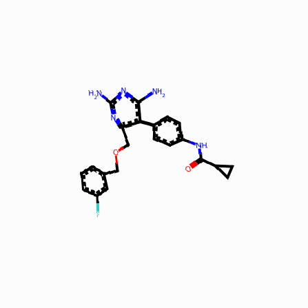 Nc1nc(N)c(-c2ccc(NC(=O)C3CC3)cc2)c(COCc2cccc(F)c2)n1